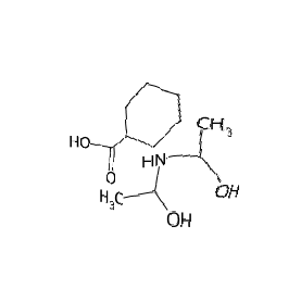 CC(O)NC(C)O.O=C(O)C1CCCCC1